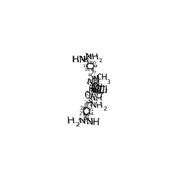 Cl.Cl.Cl.Cn1c(CCc2ccc(C(=N)N)cc2)nc2cc(NC(=O)C(N)Cc3ccc(C(=N)N)cc3)ccc21